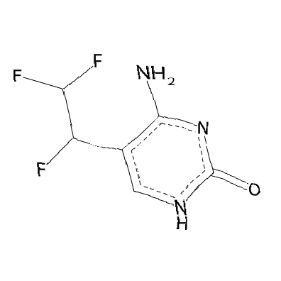 Nc1nc(=O)[nH]cc1C(F)C(F)F